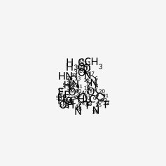 Cc1c(C2CN3CCN(C(=O)OC(C)(C)C)CC3CO2)ccc(F)c1C#N.Cc1c([C@H]2CN3CCNC[C@@H]3CO2)ccc(F)c1C#N.O=C(O)C(F)(F)F